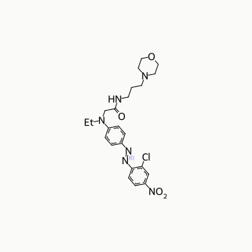 CCN(CC(=O)NCCCN1CCOCC1)c1ccc(/N=N/c2ccc([N+](=O)[O-])cc2Cl)cc1